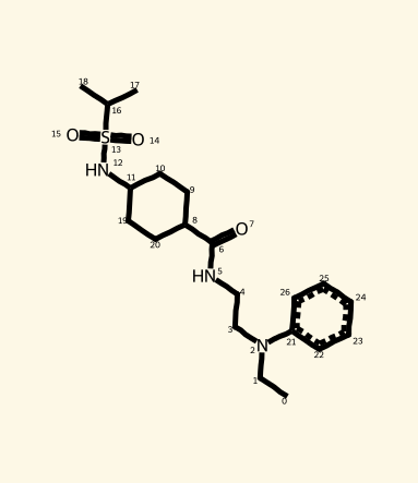 CCN(CCNC(=O)C1CCC(NS(=O)(=O)C(C)C)CC1)c1ccccc1